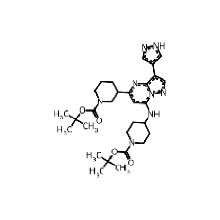 CC(C)(C)OC(=O)N1CCC(Nc2cc(C3CCCN(C(=O)OC(C)(C)C)C3)nc3c(-c4cn[nH]c4)cnn23)CC1